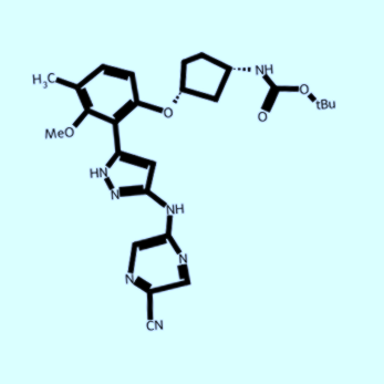 COc1c(C)ccc(O[C@@H]2CC[C@H](NC(=O)OC(C)(C)C)C2)c1-c1cc(Nc2cnc(C#N)cn2)n[nH]1